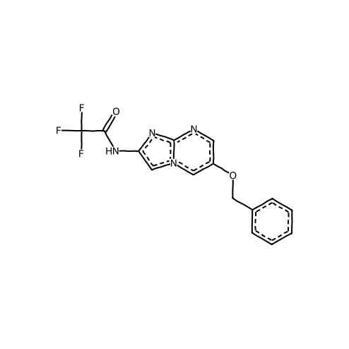 O=C(Nc1cn2cc(OCc3ccccc3)cnc2n1)C(F)(F)F